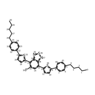 CCCCCc1ccc(-c2ccc(-c3cc(F)c(-c4ccc(-c5ccc(CCCCC)cc5)s4)c4nsnc34)s2)cc1